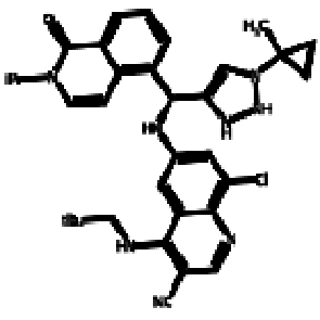 CC(C)n1ccc2c([C@H](Nc3cc(Cl)c4ncc(C#N)c(NCC(C)(C)C)c4c3)C3=CN(C4(C)CC4)NN3)cccc2c1=O